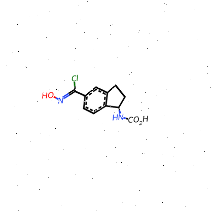 O=C(O)N[C@@H]1CCc2cc(/C(Cl)=N/O)ccc21